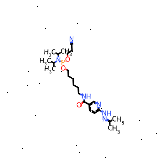 CC(C)=NNc1ccc(C(=O)NCCCCCCOP(OCCC#N)N(C(C)C)C(C)C)cn1